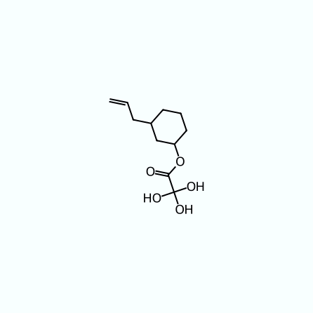 C=CCC1CCCC(OC(=O)C(O)(O)O)C1